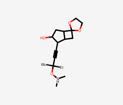 CCC(C#CC1C(O)CC2C1CC21OCCO1)(O[SiH](C)C)C(C)(C)C